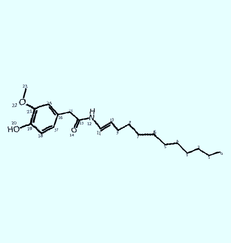 CCCCCCCCCCC=CNC(=O)Cc1ccc(O)c(OC)c1